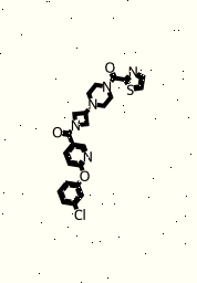 O=C(c1ccc(Oc2cccc(Cl)c2)nc1)N1CC(N2CCN(C(=O)c3nccs3)CC2)C1